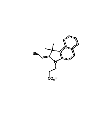 CCC(C)/C=C1/N(CCC(=O)O)c2ccc3ccccc3c2C1(C)C